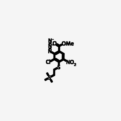 COC(=O)c1cc([N+](=O)[O-])c(SCCS(C)(C)C)c(Cl)c1N=[N+]=[N-]